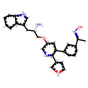 CC(=NO)c1cccc(-c2cc(OC[C@@H](N)Cc3c[nH]c4ccccc34)cnc2-c2ccoc2)c1